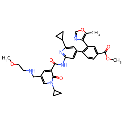 COCCNCc1cc(C(=O)Nc2cc(-c3ccc(C(=O)OC)cc3-c3ncoc3C)cc(C3CC3)n2)c(=O)n(C2CC2)c1